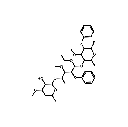 CCOC(OC1C(C)OC(F)C(Sc2ccccc2)C1OC)C(Sc1ccccc1)C(OC)C(C)OC1OC(C)CC(OC)C1O